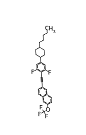 CCCCCC1CCC(c2cc(F)c(C#Cc3ccc4cc(OC(F)(F)F)ccc4c3)c(F)c2)CC1